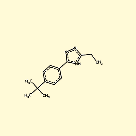 CCc1nnc(-c2ccc(C(C)(C)C)cc2)[nH]1